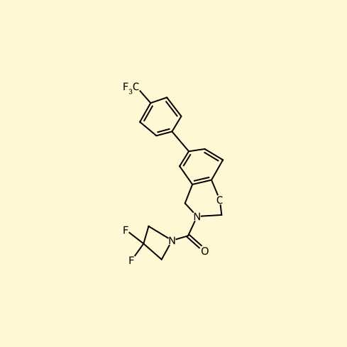 O=C(N1CCc2ccc(-c3ccc(C(F)(F)F)cc3)cc2C1)N1CC(F)(F)C1